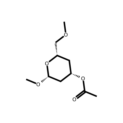 COC[C@@H]1C[C@H](OC(C)=O)C[C@H](OC)O1